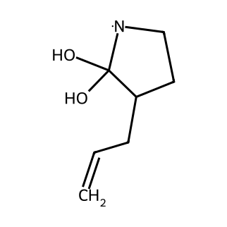 C=CCC1CC[N]C1(O)O